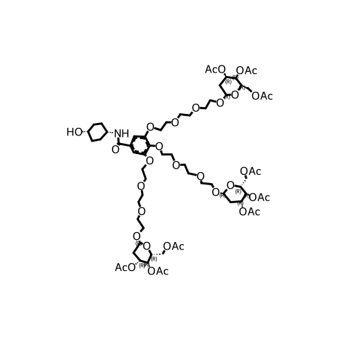 CC(=O)OC[C@H]1O[C@@H](OCCOCCOCCOc2cc(C(=O)N[C@H]3CC[C@@H](O)CC3)cc(OCCOCCOCCO[C@H]3C[C@@H](OC(C)=O)[C@@H](OC(C)=O)[C@@H](COC(C)=O)O3)c2OCCOCCOCCO[C@H]2C[C@@H](OC(C)=O)[C@@H](OC(C)=O)[C@@H](COC(C)=O)O2)C[C@@H](OC(C)=O)[C@H]1OC(C)=O